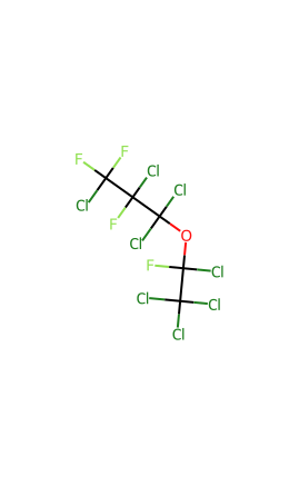 FC(F)(Cl)C(F)(Cl)C(Cl)(Cl)OC(F)(Cl)C(Cl)(Cl)Cl